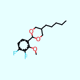 CCCCCC1COC(c2ccc(F)c(F)c2OC)OC1